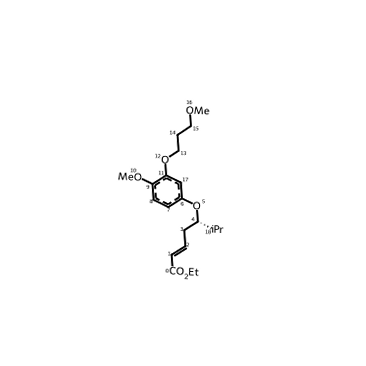 CCOC(=O)C=CC[C@H](Oc1ccc(OC)c(OCCCOC)c1)C(C)C